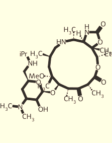 CC[C@@H]1OC(=O)[C@H](C)C(=O)[C@H](C)[C@@H](O[C@@H]2O[C@H](CNC(C)C)CC(N(C)C)C2O)[C@](C)(OC)C[C@@H](C)CN[C@H](C)[C@H]2NC(=O)O[C@]12C